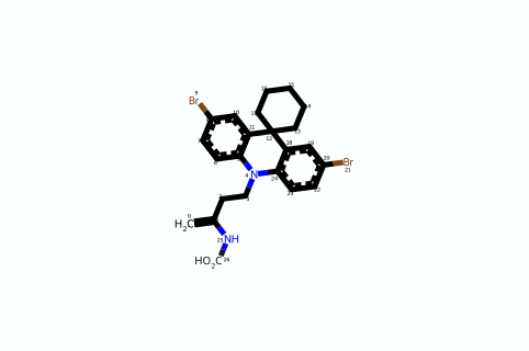 C=C(CCN1c2ccc(Br)cc2C2(CCCCC2)c2cc(Br)ccc21)NC(=O)O